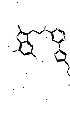 Cc1sc2c(C)cc(F)cc2c1CCNc1cc(-c2cc(OCCO)cs2)ncn1